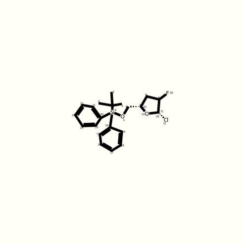 CC(C)(C)[Si](OC[C@@H]1CC(F)[C@H](Cl)O1)(c1ccccc1)c1ccccc1